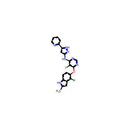 Cc1cc2c(F)c(Oc3ncnc(Nc4cc(-c5ccccn5)[nH]n4)c3F)ccc2[nH]1